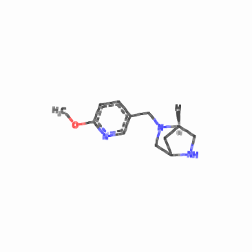 COc1ccc(CN2CC3C[C@H]2CN3)cn1